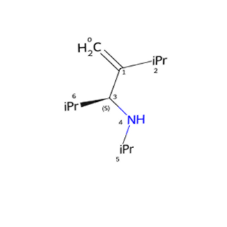 C=C(C(C)C)[C@@H](NC(C)C)C(C)C